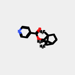 CC1(C)C2CCC1(C)C(OC(=O)c1ccncc1)C2